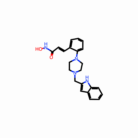 O=C(C=Cc1ccccc1N1CCN(Cc2cc3ccccc3[nH]2)CC1)NO